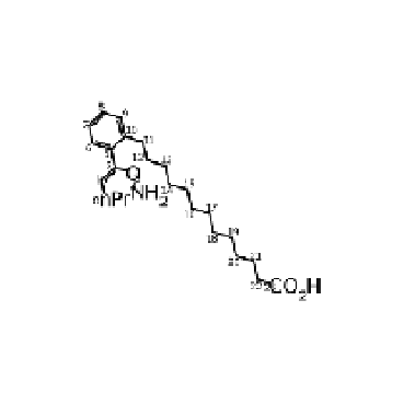 CCC/C=C(\ON)c1ccccc1CCCCCCCCCCCCC(=O)O